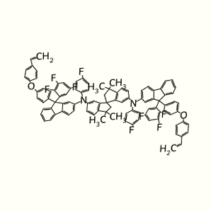 C=Cc1ccc(Oc2ccc(C3(c4cc(F)cc(F)c4F)c4ccccc4-c4ccc(N(c5ccc(F)cc5)c5ccc6c(c5)C5(CC6(C)C)CC(C)(C)c6ccc(N(c7ccc(F)cc7)c7ccc8c(c7)C(c7ccc(Oc9ccc(C=C)cc9)cc7)(c7cc(F)cc(F)c7F)c7ccccc7-8)cc65)cc43)cc2)cc1